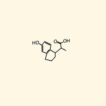 CC(C(=O)O)C1CCCc2cc(O)ccc21